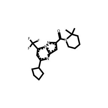 CC1(C)CCCCN1C(=O)c1cc2nc(C3CCCC3)cc(C(F)(F)F)n2n1